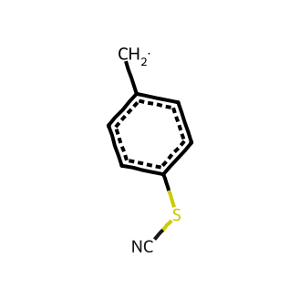 [CH2]c1ccc(SC#N)cc1